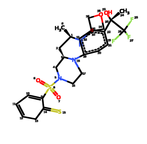 C[C@H](C[C@H]1CN(S(=O)(=O)C2=CC=CCC2=S)CCN1c1ccc([C@](C)(O)C(F)(F)F)cc1)NC1COC1